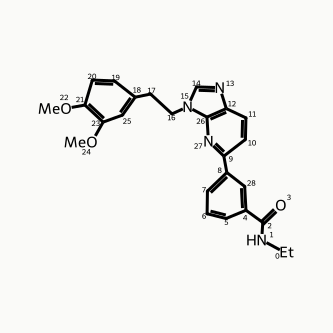 CCNC(=O)c1cccc(-c2ccc3ncn(CCc4ccc(OC)c(OC)c4)c3n2)c1